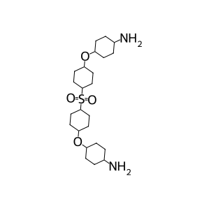 NC1CCC(OC2CCC(S(=O)(=O)C3CCC(OC4CCC(N)CC4)CC3)CC2)CC1